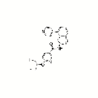 O=C(N[C@@H]1COc2cccc(-c3ccncc3)c2C1)c1ccc(OC(CF)CF)nc1